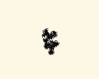 C=C(F)C(=O)N1CCN(c2nc(OC[C@@H]3CC(c4cc5c(c(-c6c(Cl)cc7c(N8CCN(C(=O)C(=C)F)[C@@H](CC#N)C8)nc(OCC89CCCN8CCC9)nc7c6F)c4)C4CC4C5)CN3C)nc3c(F)c(-c4cccc5c4C4CC4C5)c(Cl)cc23)C[C@@H]1CC#N